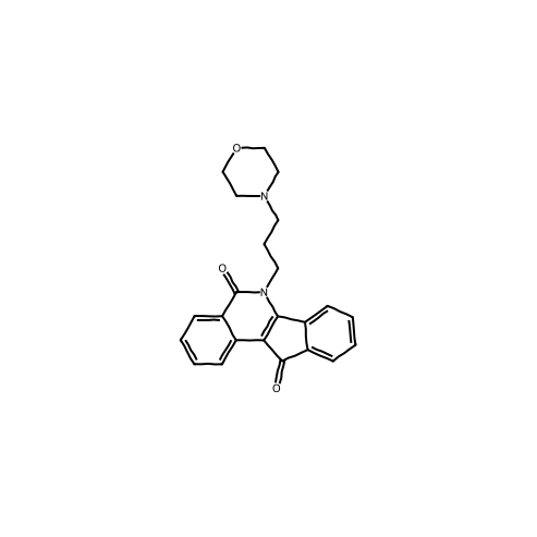 O=C1c2ccccc2-c2c1c1ccccc1c(=O)n2CCCN1CCOCC1